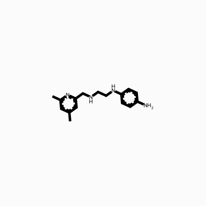 Cc1cc(C)nc(CNCCNc2ccc(N)cc2)c1